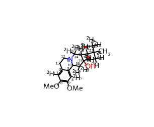 [2H]c1c2c(c([2H])c(OC)c1OC)C1N(CC2)C([2H])([2H])C([2H])(C([2H])([2H])C(C)(C([2H])([2H])[2H])C([2H])([2H])[2H])C([2H])(O)C1([2H])[2H]